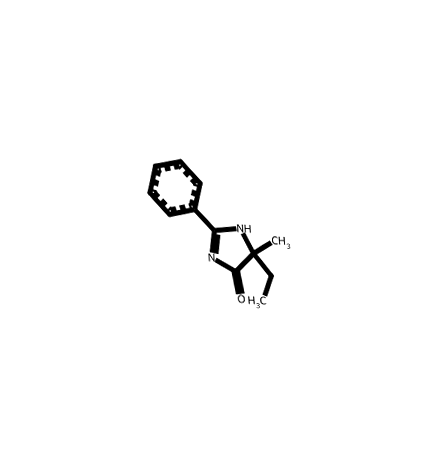 CCC1(C)NC(c2ccccc2)=NC1=O